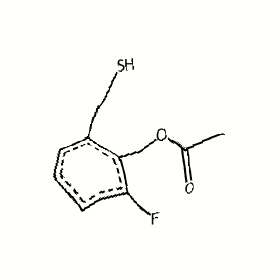 CC(=O)Oc1c(F)cccc1CS